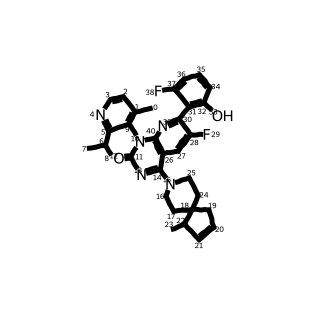 Cc1ccnc(C(C)C)c1-n1c(=O)nc(N2CCC3(CC=CC3C)CC2)c2cc(F)c(-c3c(O)cccc3F)nc21